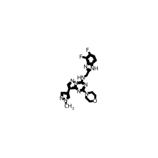 Cn1cc(-c2cnn3c(NCc4nc5c(F)c(F)ccc5[nH]4)nc(N4CCOCC4)nc23)cn1